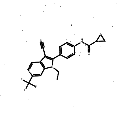 CCn1c(-c2ccc(NC(=O)C3CC3)cc2)c(C#N)c2ccc(C(F)(F)F)cc21